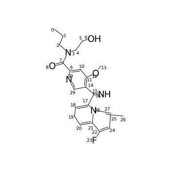 CCCN(CCO)C(=O)c1cc(OC)c(C(=N)C2=CCC=C3C(F)=CC(C)=CN23)cn1